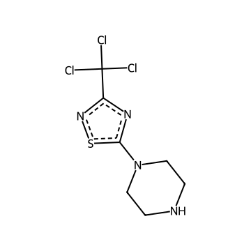 ClC(Cl)(Cl)c1nsc(N2CCNCC2)n1